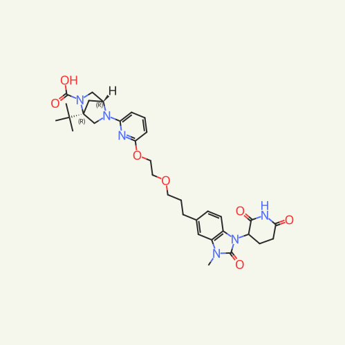 Cn1c(=O)n(C2CCC(=O)NC2=O)c2ccc(CCCOCCOc3cccc(N4C[C@]5(C(C)(C)C)C[C@@H]4CN5C(=O)O)n3)cc21